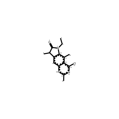 CCN1C(=O)C(C)c2cc3nc(C)nc(Cl)c3c(C)c21